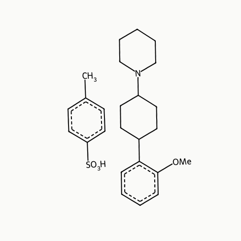 COc1ccccc1C1CCC(N2CCCCC2)CC1.Cc1ccc(S(=O)(=O)O)cc1